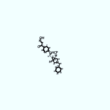 Cl.O=C(/C=N/O)c1ccc(OC[C@@H]2[C@H]3CN(Cc4ccccc4)C[C@@H]23)nc1